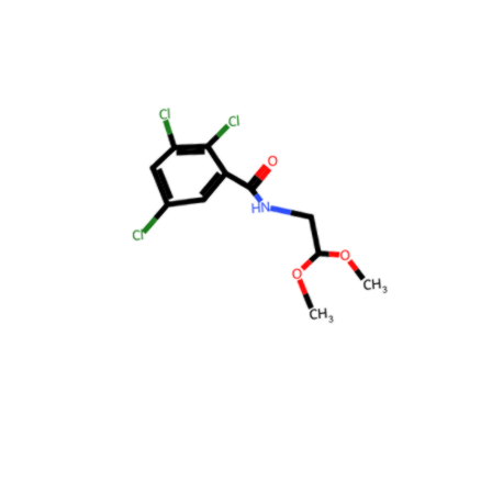 COC(CNC(=O)c1cc(Cl)cc(Cl)c1Cl)OC